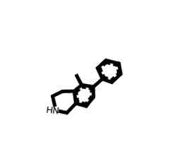 Cc1c(-c2ccccc2)ccc2c1CCNC2